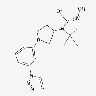 CC(C)(C)N(C1CCN(c2cccc(-n3ccnn3)c2)C1)[N+]([O-])=NO